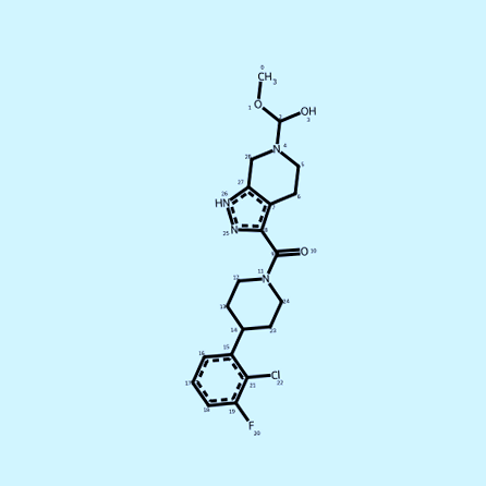 COC(O)N1CCc2c(C(=O)N3CCC(c4cccc(F)c4Cl)CC3)n[nH]c2C1